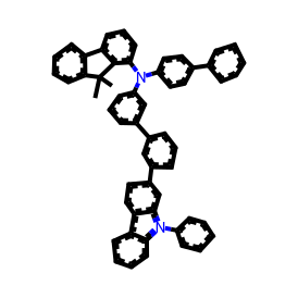 CC1(C)c2ccccc2-c2cccc(N(c3ccc(-c4ccccc4)cc3)c3cccc(-c4cccc(-c5ccc6c7ccccc7n(-c7ccccc7)c6c5)c4)c3)c21